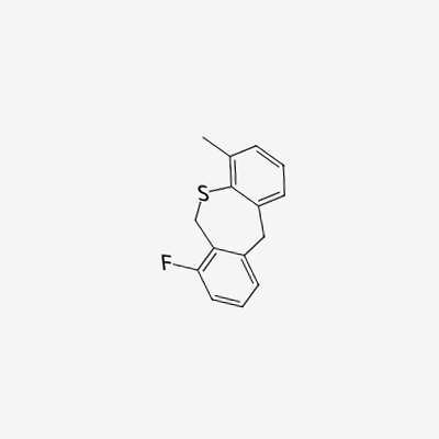 Cc1cccc2c1SCc1c(F)cccc1C2